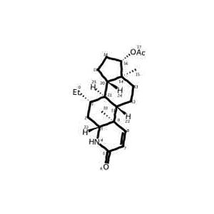 CC[C@H]1C[C@H]2NC(=O)C=C[C@]2(C)[C@H]2CC[C@]3(C)[C@@H](OC(C)=O)CC[C@H]3[C@H]12